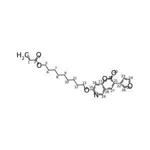 C=CC(=O)OCCCCCCCCCOc1cc2oc(=O)c(-c3ccoc3)cc2cn1